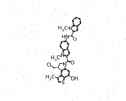 Cc1csc2c(O)cc3c(c12)[C@@H](CCl)CN3C(=O)c1cc2cc(NC(=O)c3cc4ccccc4n3C)ccc2n1C